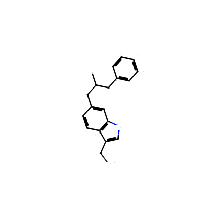 CC(C)Cc1c[nH]c2cc(CC(C)Cc3ccccc3)ccc12